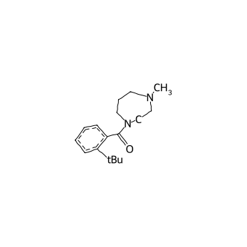 CN1CCCN(C(=O)c2ccccc2C(C)(C)C)CC1